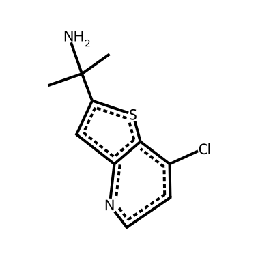 CC(C)(N)c1cc2nccc(Cl)c2s1